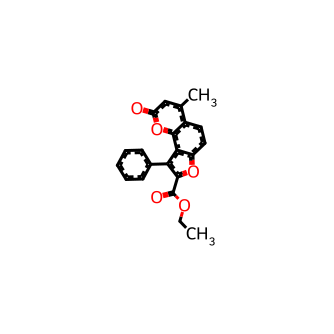 CCOC(=O)c1oc2ccc3c(C)cc(=O)oc3c2c1-c1ccccc1